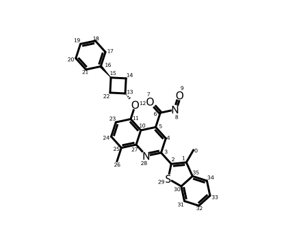 Cc1c(-c2cc(C(=O)N=O)c3c(O[C@H]4C[C@H](c5ccccc5)C4)ccc(C)c3n2)sc2ccccc12